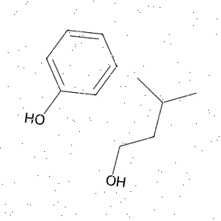 CC(C)CCO.Oc1ccccc1